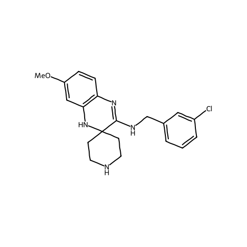 COc1ccc2c(c1)NC1(CCNCC1)C(NCc1cccc(Cl)c1)=N2